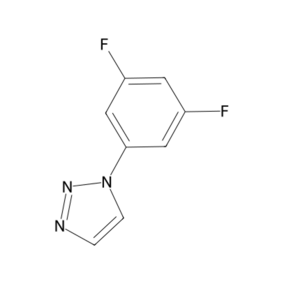 Fc1cc(F)cc(-n2ccnn2)c1